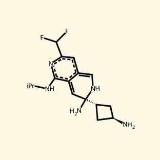 CC(C)Nc1nc(C(F)F)cc2c1=CC(N)([C@H]1C[C@H](N)C1)NC=2